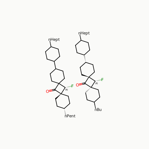 CCCCCCCC1CCC(C2CCC3(CC2)C(=O)[C@]2(CC[C@@H](CCCCC)CC2)[C@H]3F)CC1.CCCCCCCC1CCC([C@H]2CC[C@]3(CC2)C(=O)[C@@]2(CCC(CCCC)CC2)[C@H]3F)CC1